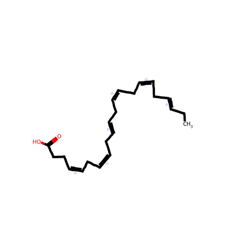 CC/C=C/C/C=C\C/C=C\C/C=C/C/C=C\C/C=C\CCC(=O)O